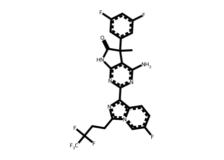 CC1(c2cc(F)cc(F)c2)C(=O)Nc2nc(-c3nc(CCC(F)(F)C(F)(F)F)n4cc(F)ccc34)nc(N)c21